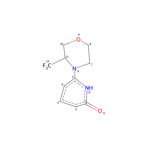 O=c1cccc(N2CCOCC2C(F)(F)F)[nH]1